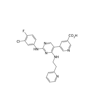 O=C(O)c1cncc(-c2cnc(Nc3ccc(F)c(Cl)c3)nc2NCCc2ccccn2)c1